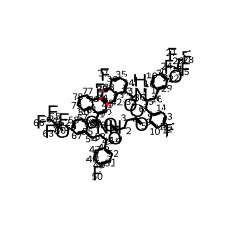 O=C(CCC(=O)OC(c1ccc(F)cc1)C(Cc1cccc(OC(F)(F)C(F)F)c1)NC(=O)c1ccc(F)c2ccccc12)OC(c1ccc(F)cc1)C(Cc1cccc(OC(F)(F)C(F)F)c1)NC(=O)c1ccc(F)c2ccccc12